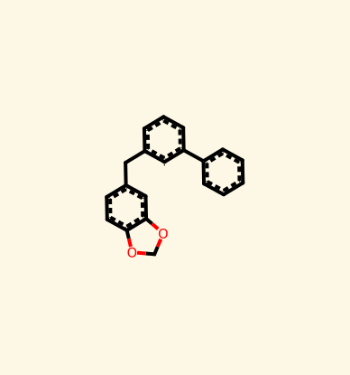 [c]1c(Cc2ccc3c(c2)OCO3)cccc1-c1ccccc1